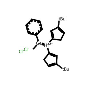 [CH3][Ge]([c]1ccccc1)=[Hf+2]([C]1=CC(C(C)(C)C)=CC1)[C]1=CC(C(C)(C)C)=CC1.[Cl-].[Cl-]